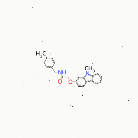 CC1C=CC(CNC(=O)COc2ccc3c4ccccc4n(C)c3c2)=CC1